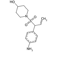 C=CC(c1ccc(N)cc1)S(=O)(=O)N1CCC(O)CC1